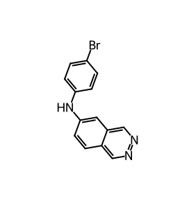 Brc1ccc(Nc2ccc3cnncc3c2)cc1